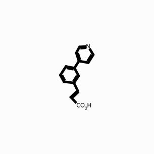 O=C(O)/C=C/c1cccc(-c2ccncc2)c1